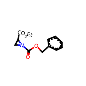 CCOC(=O)C1CN1C(=O)OCc1ccccc1